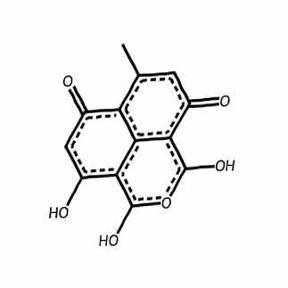 Cc1cc(=O)c2c(O)oc(O)c3c(O)cc(=O)c1c32